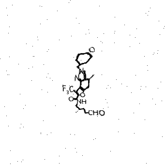 C[C@@H](CCC=O)CNC(=O)c1oc2c(c1C(F)(F)F)-c1nn(CC3CCC(=O)CC3)cc1[C@@H](C)C2